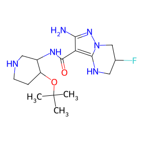 CC(C)(C)OC1CCNCC1NC(=O)c1c(N)nn2c1NCC(F)C2